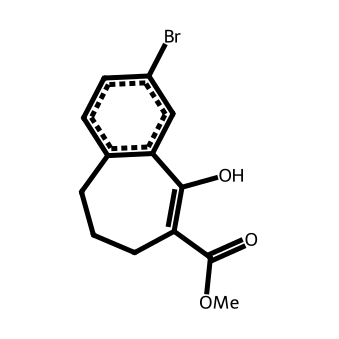 COC(=O)C1=C(O)c2cc(Br)ccc2CCC1